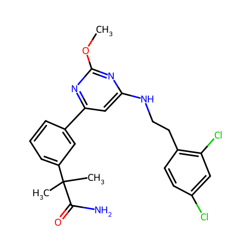 COc1nc(NCCc2ccc(Cl)cc2Cl)cc(-c2cccc(C(C)(C)C(N)=O)c2)n1